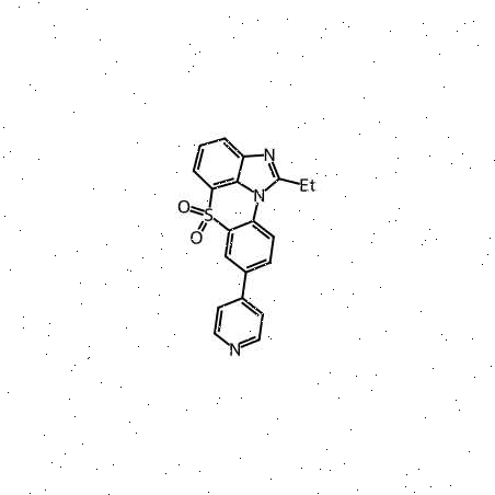 CCc1nc2cccc3c2n1-c1ccc(-c2ccncc2)cc1S3(=O)=O